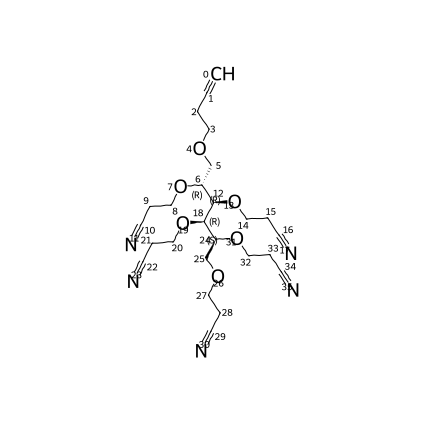 C#CCCOC[C@@H](OCCC#N)[C@@H](OCCC#N)[C@H](OCCC#N)[C@H](COCCC#N)OCCC#N